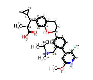 COc1cc(-c2ccc([C@@H]3CCc4ccc([C@H](C5CC5)[C@H](C)C(=O)O)cc4O3)cc2CN(C)C(C)C)c(F)cn1